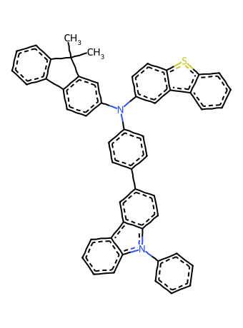 CC1(C)c2ccccc2-c2ccc(N(c3ccc(-c4ccc5c(c4)c4ccccc4n5-c4ccccc4)cc3)c3ccc4sc5ccccc5c4c3)cc21